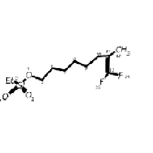 CCS(=O)(=O)OCCCCCCC(C)=C(F)F